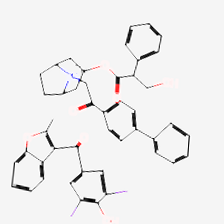 CCc1oc2ccccc2c1C(=O)c1cc(I)c(O)c(I)c1.C[N+]1(CC(=O)c2ccc(-c3ccccc3)cc2)C2CCC1CC(OC(=O)C(CO)c1ccccc1)C2